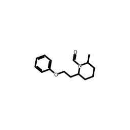 CC1CCCC(CCOc2ccccc2)N1C=O